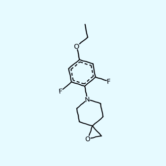 CCOc1cc(F)c(N2CCC3(CC2)CO3)c(F)c1